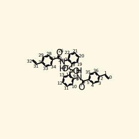 C=Cc1ccc(C(=O)Nc2ccccc2S(=O)(=O)c2ccccc2NC(=O)c2ccc(C=C)cc2)cc1